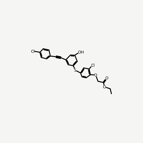 CCOC(=O)COc1ccc(Sc2cc(O)cc(C#Cc3ccc(Cl)cc3)c2)cc1Cl